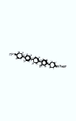 CCCCCC1CCC(c2ccc(C3=CCC(c4ccc(C5CCC(CCC)CC5)cc4)CC3)c(F)c2)CC1